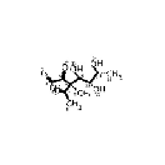 CC(=O)C(=O)[C@@](O)(C(C)=O)[C@@H](O)[C@@H](O)[C@@H](C)O